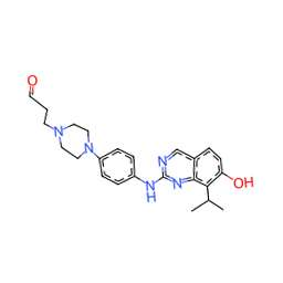 CC(C)c1c(O)ccc2cnc(Nc3ccc(N4CCN(CCC=O)CC4)cc3)nc12